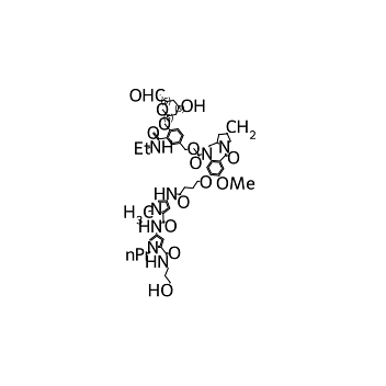 C=C1CC2CN(C(=O)OCc3ccc(O[C@H]4C[C@@H](O)C[C@@H](C=O)O4)c(C(=O)NCC)c3)c3cc(OCCCC(=O)Nc4cc(C(=O)Nc5cc(C(=O)NCCCO)n(CCC)c5)n(C)c4)c(OC)cc3C(=O)N2C1